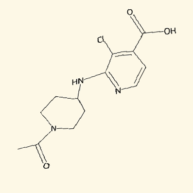 CC(=O)N1CCC(Nc2nccc(C(=O)O)c2Cl)CC1